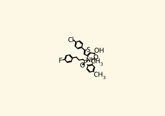 Cc1ccc(P(=O)(CCCc2ccc(F)cc2)Nc2cc(-c3ccc(Cl)cc3)sc2C(=O)O)c(C)c1